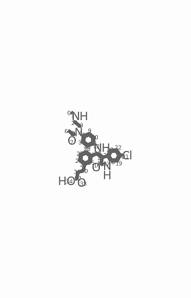 CNCCN(C(C)=O)c1ccc(NC(=C2C(=O)Nc3cc(Cl)ccc32)c2cccc(CCC(=O)O)c2)cc1